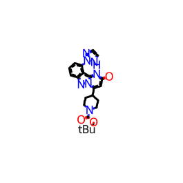 CC(C)(C)OC(=O)N1CCC(c2cc(=O)[nH]c3c4c(-n5nccn5)cccc4nn23)CC1